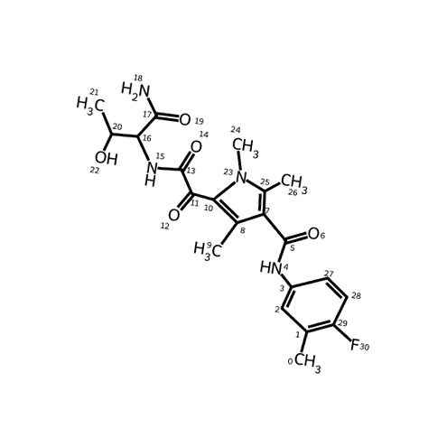 Cc1cc(NC(=O)c2c(C)c(C(=O)C(=O)NC(C(N)=O)C(C)O)n(C)c2C)ccc1F